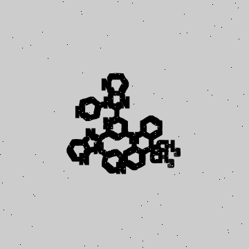 CC1(C)c2ccccc2N(c2cc(-c3nc4cccnc4n3-c3ccncc3)nc(-c3nc4cccnc4n3-c3ccncc3)c2)c2ccccc21